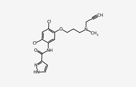 C#CCN(C)CCCOc1cc(NC(=O)c2cc[nH]n2)c(Cl)cc1Cl